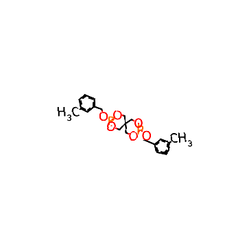 Cc1cccc(COP2OCC3(CO2)COP(OCc2cccc(C)c2)OC3)c1